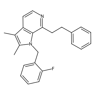 Cc1c(C)n(Cc2ccccc2F)c2c(CCc3ccccc3)nccc12